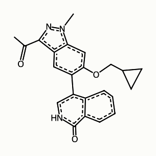 CC(=O)c1nn(C)c2cc(OCC3CC3)c(-c3c[nH]c(=O)c4ccccc34)cc12